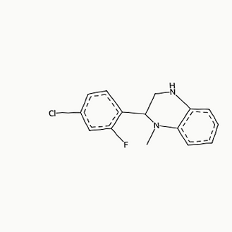 CN1c2ccccc2NCC1c1ccc(Cl)cc1F